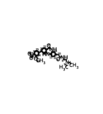 CCN(CC)CCNC(=O)Cc1ccc2c(c1)NC(=O)c1ccc(-c3ccc([N+](=O)[O-])c(OC)c3)cc1N2